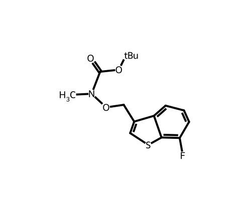 CN(OCc1csc2c(F)cccc12)C(=O)OC(C)(C)C